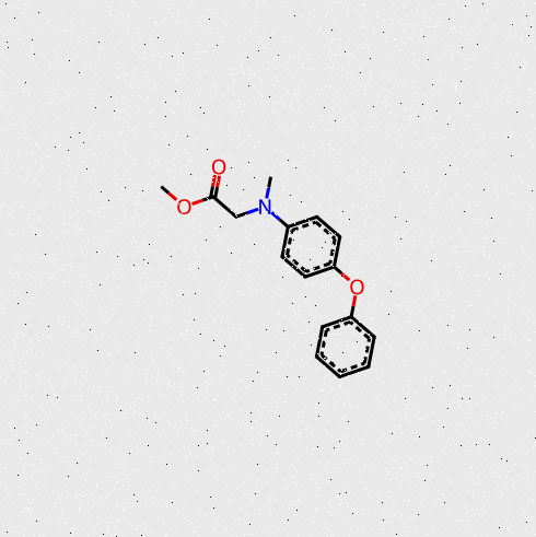 COC(=O)CN(C)c1ccc(Oc2ccccc2)cc1